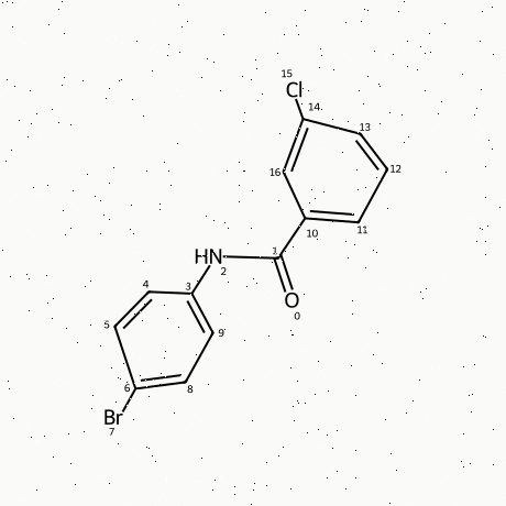 O=C(Nc1ccc(Br)cc1)c1cccc(Cl)c1